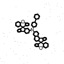 c1ccc(-c2ccc(N(c3ccc4c(c3)C3(c5ccccc5Oc5ccccc53)c3ccccc3-4)c3ccc4c5c(ccc4c3)C3(c4ccccc4Oc4ccccc43)c3ccccc3-5)cc2)cc1